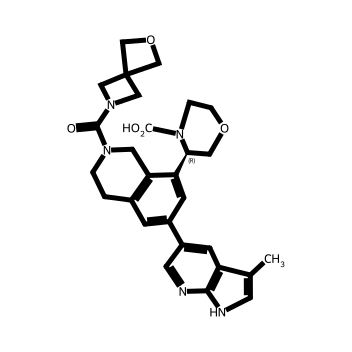 Cc1c[nH]c2ncc(-c3cc4c(c([C@@H]5COCCN5C(=O)O)c3)CN(C(=O)N3CC5(COC5)C3)CC4)cc12